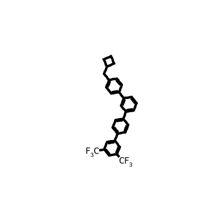 FC(F)(F)c1cc(-c2ccc(-c3cccc(-c4ccc(CC5CCC5)cc4)c3)cc2)cc(C(F)(F)F)c1